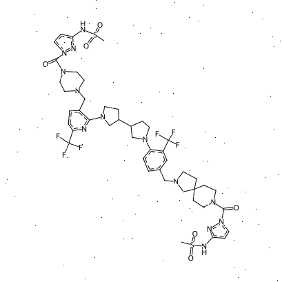 CS(=O)(=O)Nc1ccn(C(=O)N2CCN(Cc3ccc(C(F)(F)F)nc3N3CCC(C4CCN(c5ccc(CN6CCC7(CCN(C(=O)n8ccc(NS(C)(=O)=O)n8)CC7)C6)cc5C(F)(F)F)C4)C3)CC2)n1